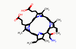 C=CC1=C(C)c2nc1cc1[nH]c(cc3nc(cc4[nH]c(c(C=C)c4C)c2C(=O)CN)C(C)=C3CCC(=O)O)c(CCC(=O)O)c1C